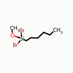 CCCCCC[Si](Br)(Br)OC